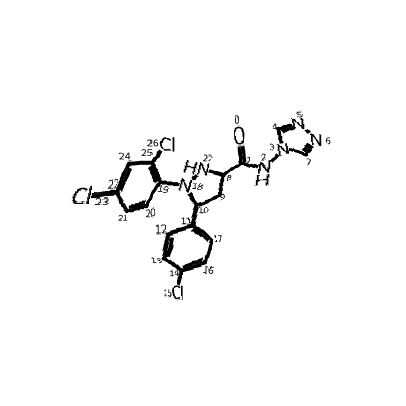 O=C(Nn1cnnc1)C1CC(c2ccc(Cl)cc2)N(c2ccc(Cl)cc2Cl)N1